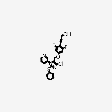 OCC#Cc1c(F)cc(OCc2c(Cl)nc(SC3C=CCCC3)n2-c2cccnc2)cc1F